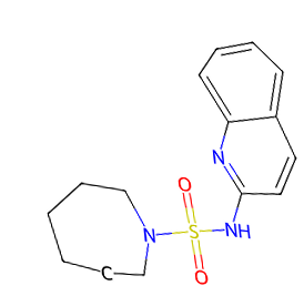 O=S(=O)(Nc1ccc2ccccc2n1)N1CCCCCC1